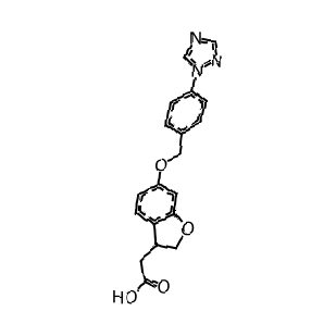 O=C(O)CC1COc2cc(OCc3ccc(-n4cncn4)cc3)ccc21